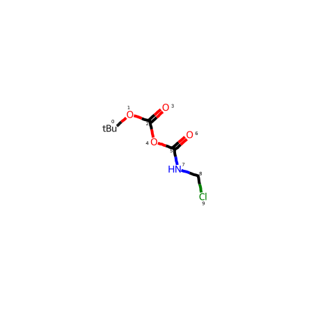 CC(C)(C)OC(=O)OC(=O)NCCl